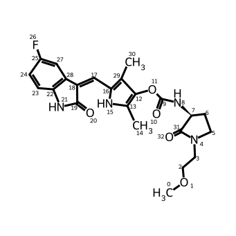 COCCN1CC[C@H](NC(=O)Oc2c(C)[nH]c(/C=C3\C(=O)Nc4ccc(F)cc43)c2C)C1=O